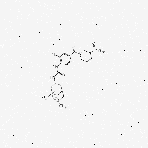 C[C@]12CC3CC(NC(=O)Nc4ccc(C(=O)N5CCCC(C(N)=O)C5)cc4Cl)(C1)C[C@@](C)(C3)C2